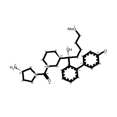 COCCCC[C@@](O)(c1ccccc1-c1ccc(Cl)cc1)[C@@H]1CCCN(C(=O)N2CC[C@H](N)C2)C1